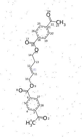 CC(=O)c1ccc(C(=O)OC/C=C/CCOC(=O)c2ccc(C(C)=O)cc2)cc1